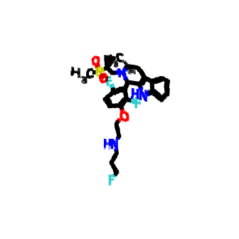 C[C@@H]1Cc2c([nH]c3ccccc23)C(c2c(F)ccc(OCCNCCCF)c2F)N1CC1(S(C)(=O)=O)CC1